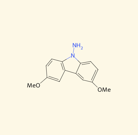 COc1ccc2c(c1)c1cc(OC)ccc1n2N